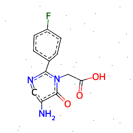 Nc1cnc(-c2ccc(F)cc2)n(CC(=O)O)c1=O